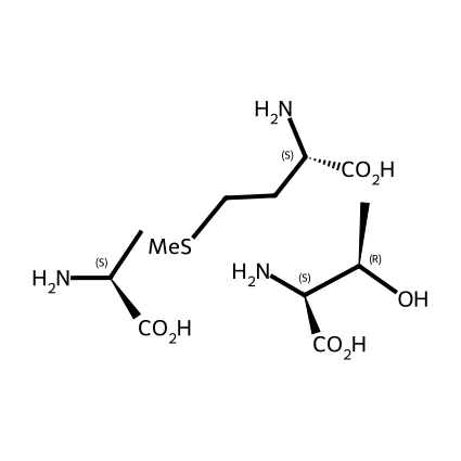 CSCC[C@H](N)C(=O)O.C[C@@H](O)[C@H](N)C(=O)O.C[C@H](N)C(=O)O